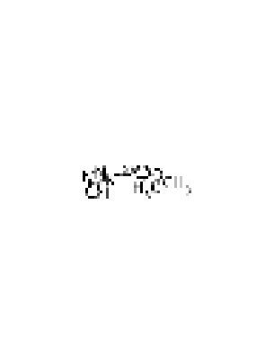 CC(C)Oc1ccc(OCCNc2ncnc3ccccc23)cc1